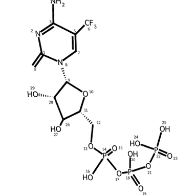 C=C1N=C(N)C(C(F)(F)F)=CN1[C@@H]1O[C@H](COP(=O)(O)OP(=O)(O)OP(=O)(O)O)C(O)[C@@H]1O